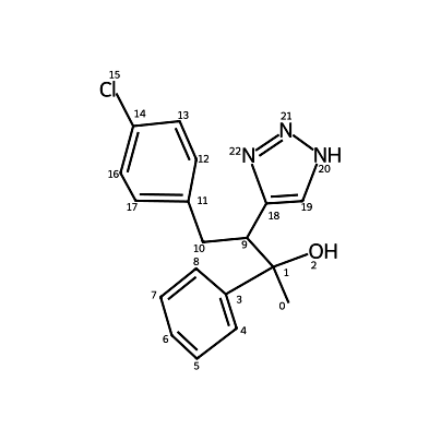 CC(O)(c1ccccc1)C(Cc1ccc(Cl)cc1)c1c[nH]nn1